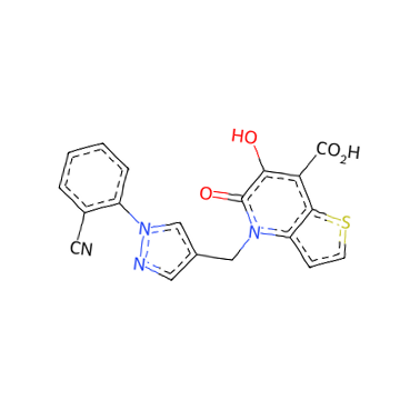 N#Cc1ccccc1-n1cc(Cn2c(=O)c(O)c(C(=O)O)c3sccc32)cn1